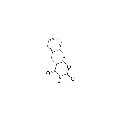 C=C1C(=O)OC2=Cc3ccccc3CC2C1=O